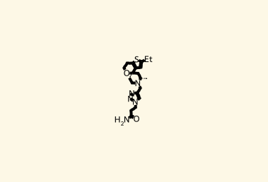 CCc1cc2c(s1)CCO[C@@]21CCN(Cc2cn(CCC(N)=O)nn2)[C@@H](C)C1